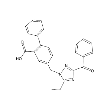 CCc1nc(C(=O)c2ccccc2)nn1Cc1ccc(-c2ccccc2)c(C(=O)O)c1